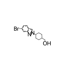 OCC1CCC(n2cc3ccc(Br)cc3n2)CC1